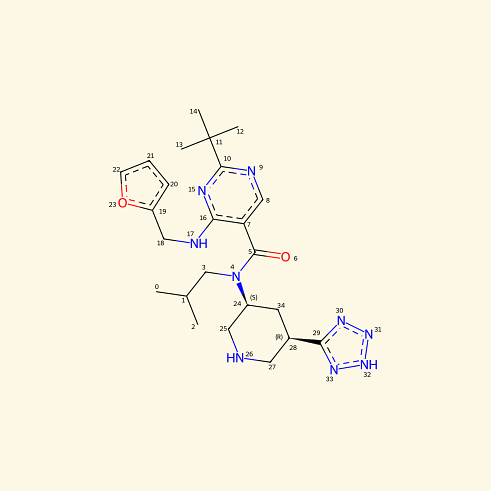 CC(C)CN(C(=O)c1cnc(C(C)(C)C)nc1NCc1ccco1)[C@@H]1CNC[C@H](c2nn[nH]n2)C1